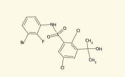 CC(C)(O)c1cc(Cl)cc(S(=O)(=O)Nc2cccc(Br)c2F)c1Cl